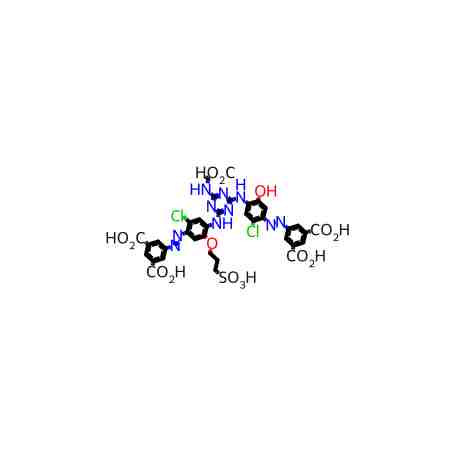 O=C(O)CNc1nc(Nc2cc(Cl)c(N=Nc3cc(C(=O)O)cc(C(=O)O)c3)cc2O)nc(Nc2cc(Cl)c(N=Nc3cc(C(=O)O)cc(C(=O)O)c3)cc2OCCCS(=O)(=O)O)n1